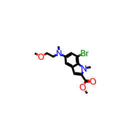 COCCN(C)c1cc(Br)c2c(c1)cc(C(=O)OC)n2C